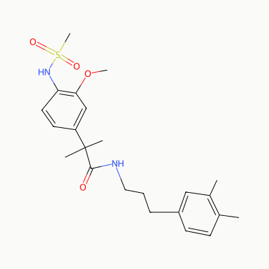 COc1cc(C(C)(C)C(=O)NCCCc2ccc(C)c(C)c2)ccc1NS(C)(=O)=O